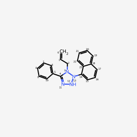 C=CCN1C(c2ccccc2)=NNN1c1cccc2ccccc12